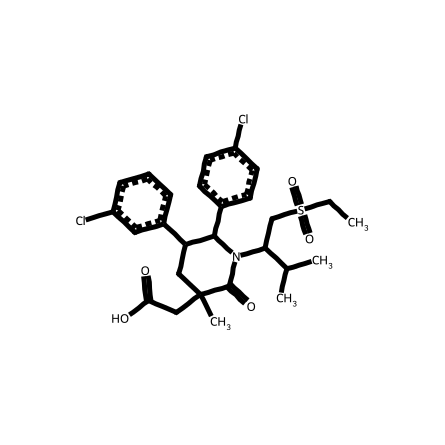 CCS(=O)(=O)CC(C(C)C)N1C(=O)C(C)(CC(=O)O)CC(c2cccc(Cl)c2)C1c1ccc(Cl)cc1